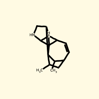 CC1CC2C=CC3C45C6NCC(C14C2C)[PH]365